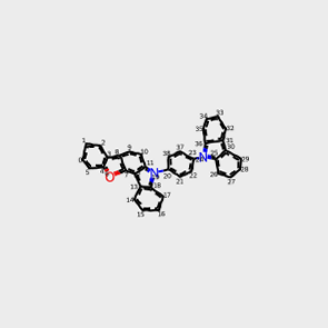 c1ccc2c(c1)oc1c2ccc2c1c1ccccc1n2-c1ccc(-n2c3ccccc3c3ccccc32)cc1